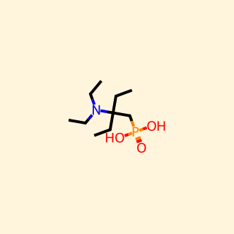 CCN(CC)C(CC)(CC)CP(=O)(O)O